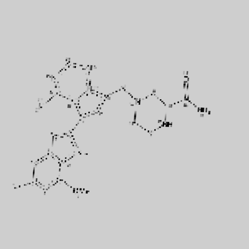 COc1cc(C)cc2cc(-c3cc(CN4CCNC(C(N)=O)C4)n4ncnc(N)c34)sc12